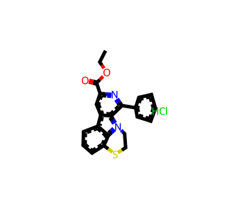 CCOC(=O)c1cc2c3cccc4c3n(c2c(-c2ccccc2)n1)CCS4.Cl